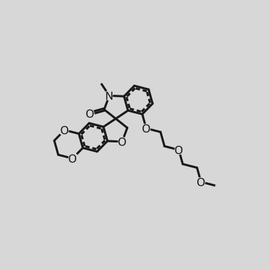 COCCOCCOc1cccc2c1C1(COc3cc4c(cc31)OCCO4)C(=O)N2C